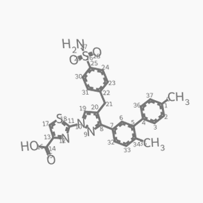 Cc1ccc(-c2cc(-c3nn(-c4nc(C(=O)O)cs4)cc3Cc3ccc(S(N)(=O)=O)cc3)ccc2C)cc1